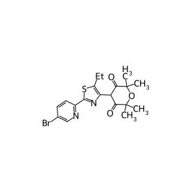 CCc1sc(-c2ccc(Br)cn2)nc1C1C(=O)C(C)(C)OC(C)(C)C1=O